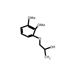 [CH2]C(O)COc1cccc(OC)c1OC